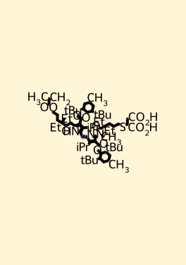 C=C(C)C(=O)OCCCC(CC)(CC)C(=O)Cc1[nH]c(/C=C2\N=C(N(C)C(=O)C(CC)(CC)CCCSC(CC(=O)O)C(=O)O)C(C(=O)OC3C(C(C)(C)C)CC(C)CC3C(C)(C)C)=C2C(C)C)c(C(C)C)c1C(=O)OC1C(C(C)(C)C)CC(C)CC1C(C)(C)C